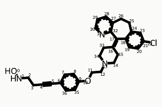 ONCCC#Cc1ccc(OCCN2CCC(=C3c4ccc(Cl)cc4CCc4cccnc43)CC2)cc1